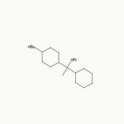 CCCCC1CCC(C(C)(CCC)C2CCCCC2)CC1